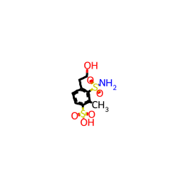 Cc1c(S(=O)(=O)O)ccc(CCO)c1S(N)(=O)=O